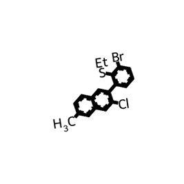 CCSc1c(Br)cccc1-c1cc2ccc(C)cc2cc1Cl